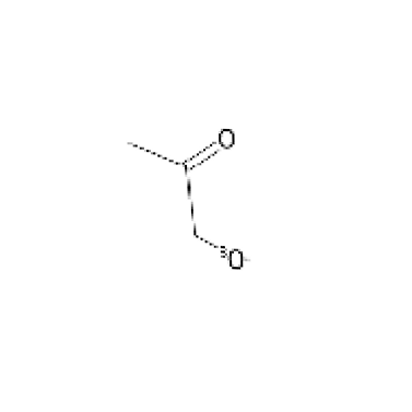 CC(=O)C[3O]